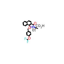 CCC(C)(NC(=O)c1ccc2ccccc2c1OCc1ccc(OC(F)F)cc1)C(=O)O